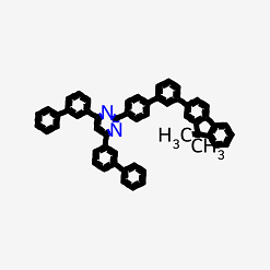 CC1(C)c2ccccc2-c2ccc(-c3cccc(-c4ccc(-c5nc(-c6cccc(-c7ccccc7)c6)cc(-c6cccc(-c7ccccc7)c6)n5)cc4)c3)cc21